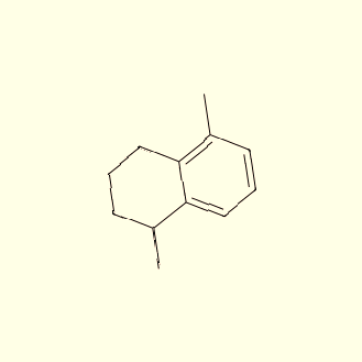 Cc1cccc2c1CCCC2C